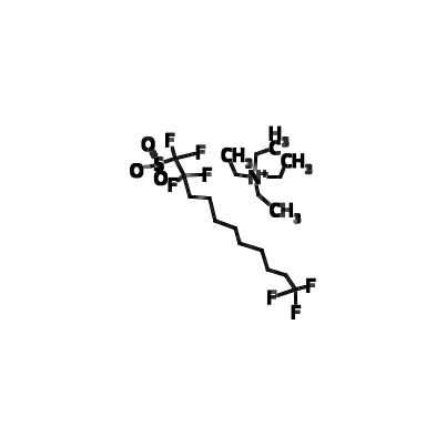 CC[N+](CC)(CC)CC.O=S(=O)([O-])C(F)(F)C(F)(F)CCCCCCCCC(F)(F)F